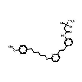 CCCCOc1ccc(CCCCCOc2cccc(C=Cc3cccc(NC(=O)CC(CC)(CC)C(=O)O)c3)n2)cc1